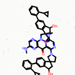 CNc1cnc(N2CCC3(CC(O)c4cc(-c5ccccc5C5CC5)ccc43)C2)c(C(=O)c2nc(NC)cnc2N2CCC3(CC(O)c4cc(-c5ccccc5C5CC5)ccc43)C2)n1